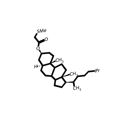 CSCC(=O)O[C@H]1CC[C@]2(C)C3CC[C@@]4(C)C(CC[C@@H]4C(C)CCCC(C)C)C3CC[C@H]2C1